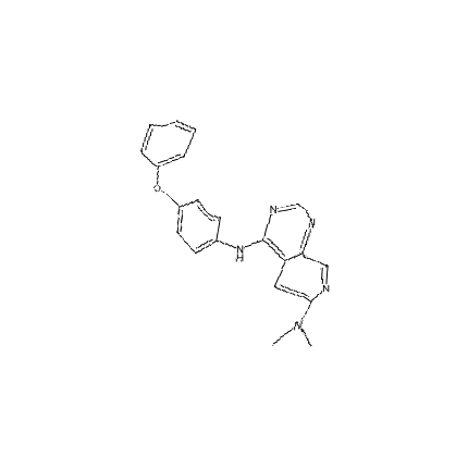 CN(C)c1cc2c(Nc3ccc(Oc4ccccc4)cc3)ncnc2cn1